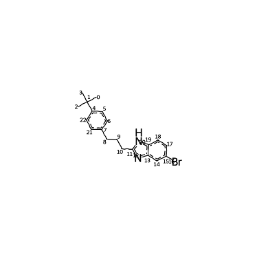 CC(C)(C)c1ccc(CCCc2nc3cc(Br)ccc3[nH]2)cc1